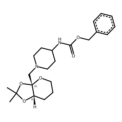 CC1(C)O[C@H]2CCCO[C@@]2(CN2CCC(NC(=O)OCc3ccccc3)CC2)O1